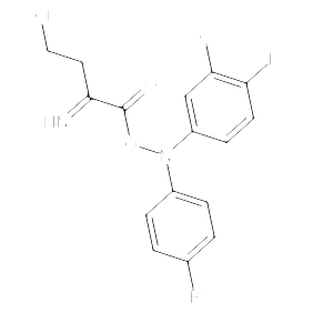 CCCC(=N)C(=O)ON(c1ccc(Br)cc1)c1ccc(F)c(Cl)c1